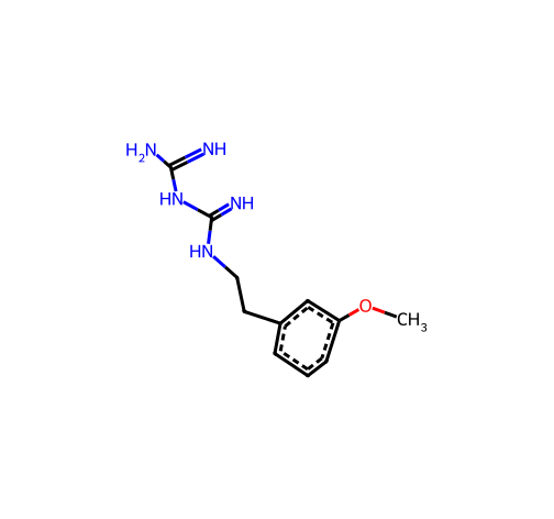 COc1cccc(CCNC(=N)NC(=N)N)c1